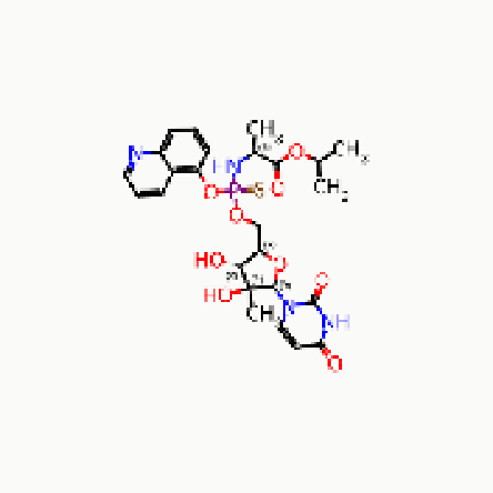 CC(C)OC(=O)[C@H](C)NP(=S)(OC[C@H]1O[C@@H](n2ccc(=O)[nH]c2=O)[C@](C)(O)[C@@H]1O)Oc1cccc2ncccc12